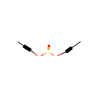 CC#COS(=O)OC#CC